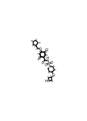 O=C(NS(=O)(=O)N1CCC(OC2CNC2)CC1)c1cc(Cl)c(OCC2CCCC2)cc1F